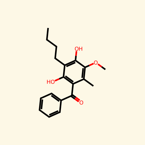 CCCCc1c(O)c(OC)c(C)c(C(=O)c2ccccc2)c1O